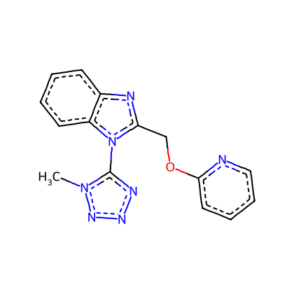 Cn1nnnc1-n1c(COc2ccccn2)nc2ccccc21